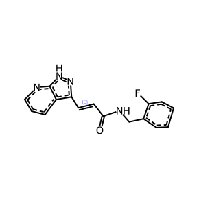 O=C(/C=C/c1n[nH]c2ncccc12)NCc1ccccc1F